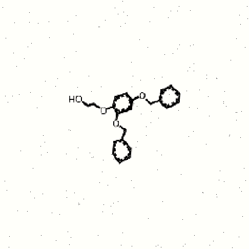 OCCOc1ccc(OCc2ccccc2)cc1OCc1ccccc1